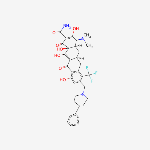 CN(C)[C@@H]1C(O)=C(C(N)=O)C(=O)[C@@]2(O)C(O)=C3C(=O)c4c(O)cc(CN5CCC(c6ccccc6)CC5)c(C(F)(F)F)c4C[C@H]3C[C@@H]12